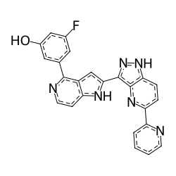 Oc1cc(F)cc(-c2nccc3[nH]c(-c4n[nH]c5ccc(-c6ccccn6)nc45)cc23)c1